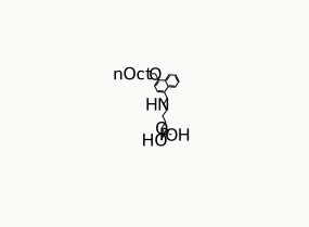 CCCCCCCCOc1ccc(CNCCCOP(O)O)c2ccccc12